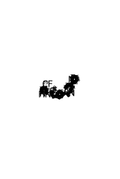 O=C(Cc1ccc(-c2cnc3cc(-c4ccccn4)ccn23)cc1F)Nc1cc(C(F)(F)F)ccn1